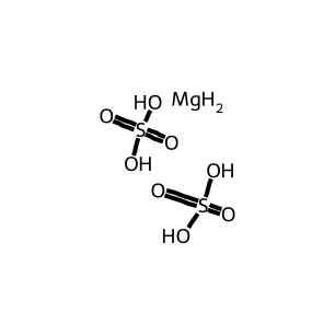 O=S(=O)(O)O.O=S(=O)(O)O.[MgH2]